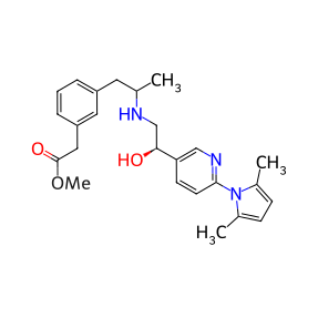 COC(=O)Cc1cccc(CC(C)NC[C@H](O)c2ccc(-n3c(C)ccc3C)nc2)c1